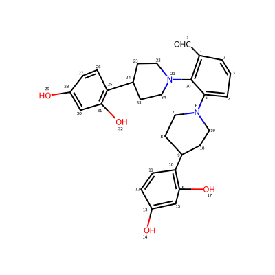 O=Cc1cccc(N2CCC(c3ccc(O)cc3O)CC2)c1N1CCC(c2ccc(O)cc2O)CC1